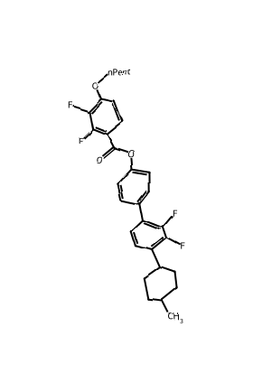 CCCCCOc1ccc(C(=O)Oc2ccc(-c3ccc(C4CCC(C)CC4)c(F)c3F)cc2)c(F)c1F